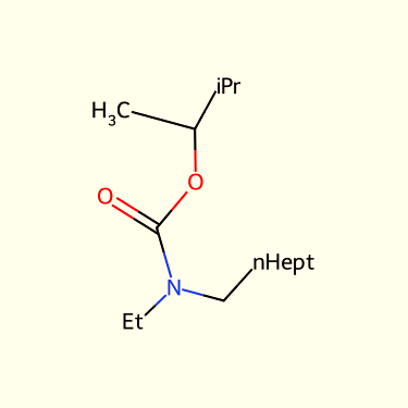 CCCCCCCCN(CC)C(=O)OC(C)C(C)C